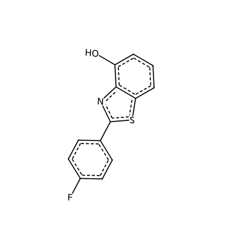 Oc1cccc2sc(-c3ccc(F)cc3)nc12